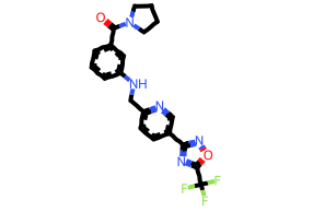 O=C(c1cccc(NCc2ccc(-c3noc(C(F)(F)F)n3)cn2)c1)N1CCCC1